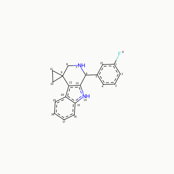 Fc1cccc(C2NCC3(CC3)c3c2[nH]c2ccccc32)c1